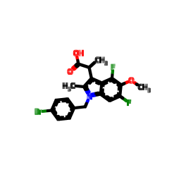 COc1c(F)cc2c(c1F)c(C(C)C(=O)O)c(C)n2Cc1ccc(Br)cc1